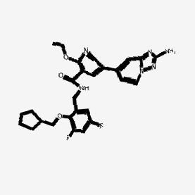 CCOc1ncc(-c2ccn3nc(N)nc3c2)cc1C(=O)NCc1cc(F)cc(F)c1OCC1CCCC1